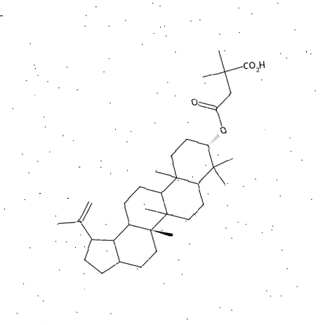 C=C(C)C1CCC2CC[C@]3(C)C(CCC4C5(C)CC[C@H](OC(=O)CC(C)(C)C(=O)O)C(C)(C)C5CCC43C)C21